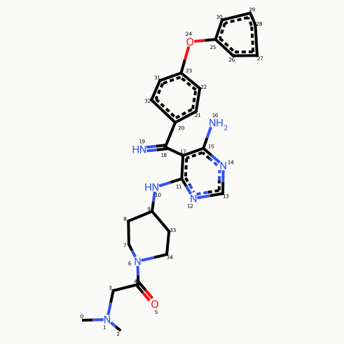 CN(C)CC(=O)N1CCC(Nc2ncnc(N)c2C(=N)c2ccc(Oc3ccccc3)cc2)CC1